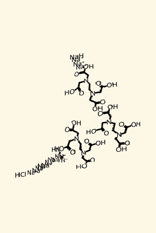 Cl.O=C(O)CN(CCN(CC(=O)O)CC(=O)O)CC(=O)O.O=C(O)CN(CCN(CC(=O)O)CC(=O)O)CC(=O)O.O=C(O)CN(CCN(CC(=O)O)CC(=O)O)CC(=O)O.[N-]=[N+]=N.[Na+].[Na+].[Na+].[Na+].[Na+].[Na+].[Na+].[Na+].[Na+].[Na+].[Na+].[Na+].[NaH]